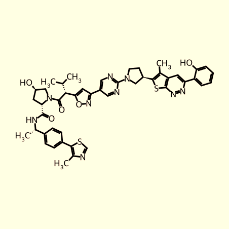 Cc1ncsc1-c1ccc([C@H](C)NC(=O)[C@@H]2C[C@@H](O)CN2C(=O)[C@@H](c2cc(-c3cnc(N4CC[C@@H](c5sc6nnc(-c7ccccc7O)cc6c5C)C4)nc3)no2)C(C)C)cc1